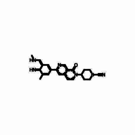 CN/C=C1/C=C(c2cc3ccn(C4CCB(C#N)CC4)c(=O)c3cn2)C=C(C)C1=N